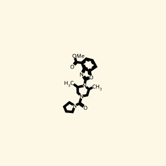 COC(=O)c1cccc2oc(N3C(C)CN(C(=O)N4CCCC4)CC3C)nc12